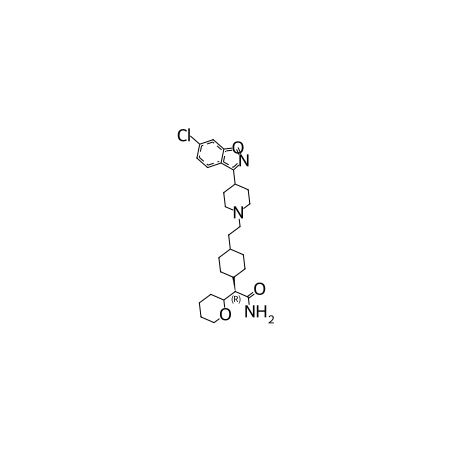 NC(=O)[C@H](C1CCC(CCN2CCC(c3noc4cc(Cl)ccc34)CC2)CC1)C1CCCCO1